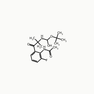 CC(=O)Nc1c(F)cccc1C(=O)C(C)(C)NC(O)OC(C)(C)C